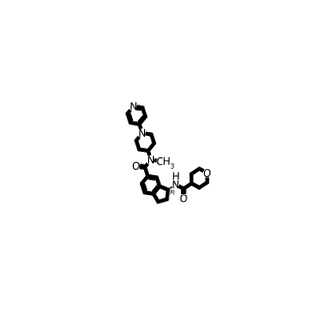 CN(C(=O)c1ccc2c(c1)[C@H](NC(=O)C1CCOCC1)CC2)C1CCN(c2ccncc2)CC1